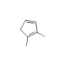 CCCCC1=C(CCC)C=CC1